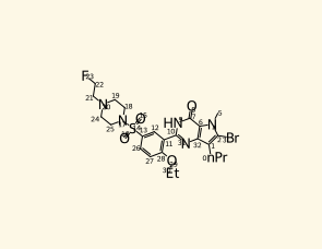 CCCc1c(Br)n(C)c2c(=O)[nH]c(-c3cc(S(=O)(=O)N4CCN(CCF)CC4)ccc3OCC)nc12